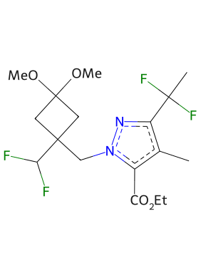 CCOC(=O)c1c(C)c(C(C)(F)F)nn1CC1(C(F)F)CC(OC)(OC)C1